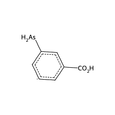 O=C(O)c1c[c]cc([AsH2])c1